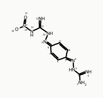 N=C(N)NN=C1C=CC(=NNC(=N)N[N+](=O)[O-])C=C1